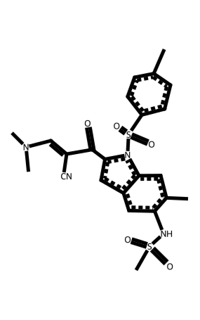 Cc1ccc(S(=O)(=O)n2c(C(=O)/C(C#N)=C/N(C)C)cc3cc(NS(C)(=O)=O)c(C)cc32)cc1